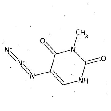 Cn1c(=O)[nH]cc(N=[N+]=[N-])c1=O